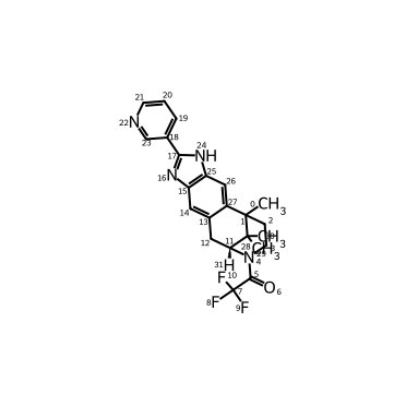 CC12CCN(C(=O)C(F)(F)F)[C@H](Cc3cc4nc(-c5cccnc5)[nH]c4cc31)C2(C)C